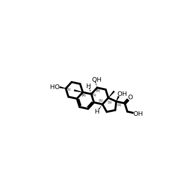 C[C@]12CC[C@H](O)CC1=CC=C1[C@@H]2[C@H](O)C[C@@]2(C)[C@H]1CC[C@@]2(O)C(=O)CO